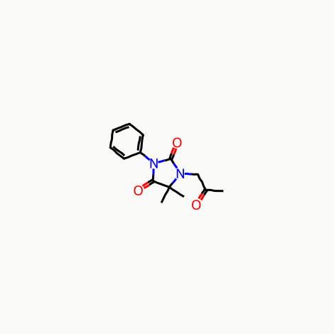 CC(=O)CN1C(=O)N(c2ccccc2)C(=O)C1(C)C